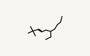 CCCCC(CC)CC=CC(C)(C)C